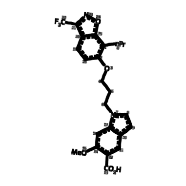 CCCc1c(OCCCn2ccc3cc(C(=O)O)c(OC)cc32)ccc2c(C(F)(F)F)noc12